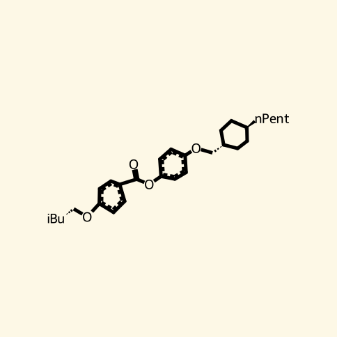 CCCCC[C@H]1CC[C@H](COc2ccc(OC(=O)c3ccc(OC[C@@H](C)CC)cc3)cc2)CC1